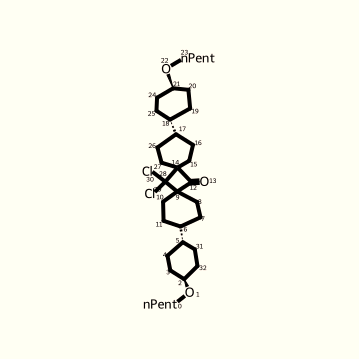 CCCCCO[C@H]1CC[C@H](C2CCC3(CC2)C(=O)C2(CCC([C@H]4CC[C@H](OCCCCC)CC4)CC2)C3(Cl)Cl)CC1